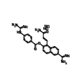 Cl.Cl.N=C(N)Nc1ccc(C(=O)Oc2ccc3cc(C(=N)N)ccc3c2C=CC(N)=O)cc1